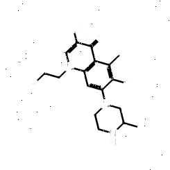 Cc1c(F)c(N2CCNC(C)C2)cc2c1c(=O)c(C(=O)O)cn2CCF